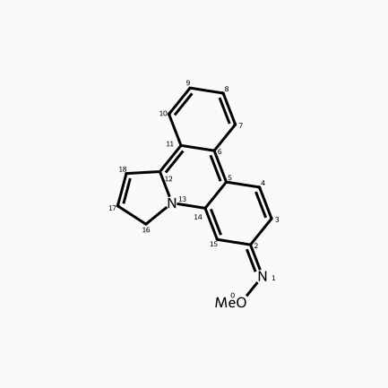 CON=c1ccc2c3ccccc3c3n(c-2c1)CC=C3